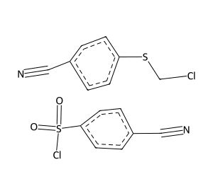 N#Cc1ccc(S(=O)(=O)Cl)cc1.N#Cc1ccc(SCCl)cc1